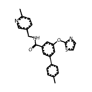 Cc1ccc(-c2cc(Oc3nccs3)cc(C(=O)NCc3ccc(C)nc3)c2)cc1